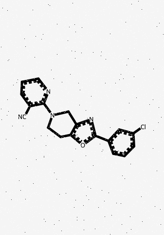 N#Cc1cccnc1N1CCc2oc(-c3cccc(Cl)c3)nc2C1